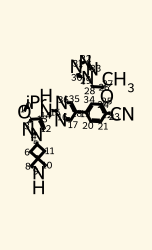 CC(C)Oc1nn(C2CC3(CNC3)C2)cc1Nc1ncc(-c2ccc(C#N)c(O[C@@H](C)Cn3cnnn3)c2)cn1